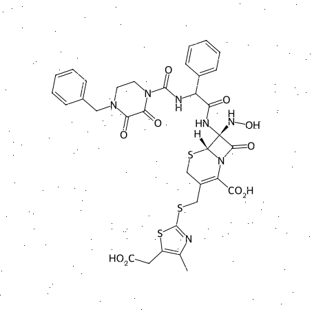 Cc1nc(SCC2=C(C(=O)O)N3C(=O)[C@@](NO)(NC(=O)C(NC(=O)N4CCN(Cc5ccccc5)C(=O)C4=O)c4ccccc4)[C@H]3SC2)sc1CC(=O)O